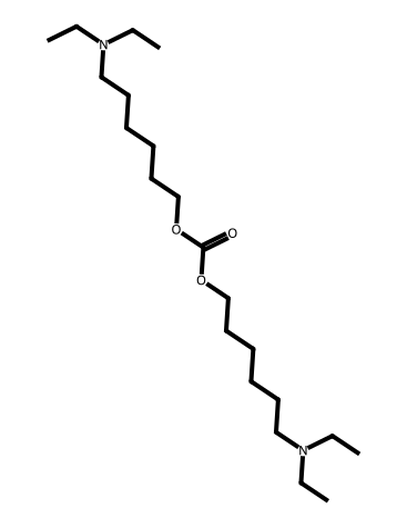 CCN(CC)CCCCCCOC(=O)OCCCCCCN(CC)CC